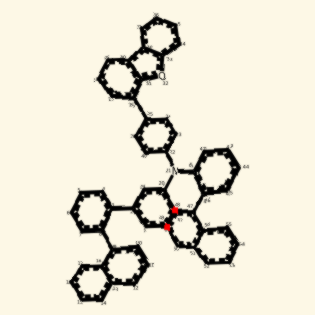 c1cc(-c2ccccc2-c2cccc3ccccc23)cc(N(c2ccc(-c3cccc4c3oc3ccccc34)cc2)c2ccccc2-c2cccc3ccccc23)c1